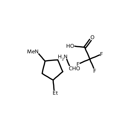 CCC1CCC(NC)C1.NC=O.O=C(O)C(F)(F)F